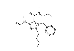 C=CN(C)c1nc(CCCC)n(Cc2ccccc2)c1C(=C)N(C)CCC